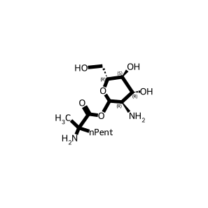 CCCCCC(C)(N)C(=O)OC1O[C@H](CO)[C@@H](O)[C@H](O)[C@H]1N